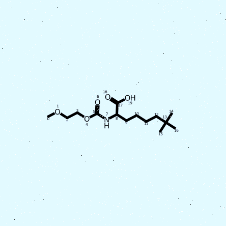 COCCOC(=O)NC(CCCCC(C)(C)C)C(=O)O